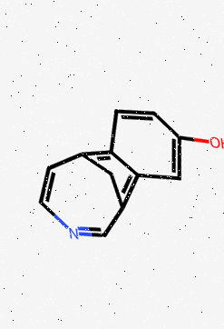 Oc1ccc2c(c1)=C1C=NC=CC=2C1